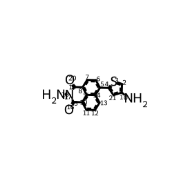 Nc1csc(-c2ccc3c4c(cccc24)C(=O)N(N)C3=O)c1